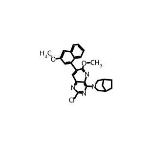 COc1cc(-c2cc3nc(Cl)nc(N4CC5CCC(C5)C4)c3nc2OC)c2ccccc2c1